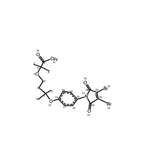 CC(C)(CCOC(C)(C)C(=O)O)Oc1ccc(N2C(=O)C(Br)=C(Br)C2=O)cc1